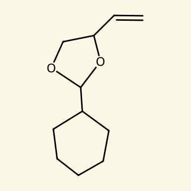 C=CC1COC(C2CCCCC2)O1